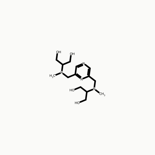 CN(Cc1cncc(CN(C)C(CO)CO)n1)C(CO)CO